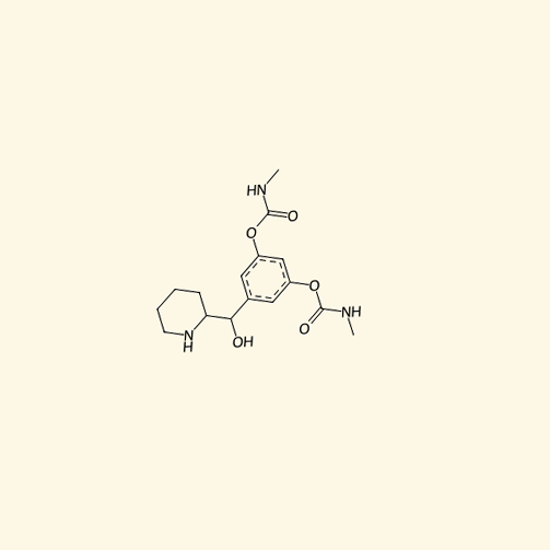 CNC(=O)Oc1cc(OC(=O)NC)cc(C(O)C2CCCCN2)c1